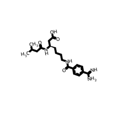 CC(C)CC(=O)N[C@H](CCCCNC(=O)c1ccc(C(=N)N)cc1)CC(=O)O